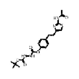 CC(=O)Nc1nc(CCc2ccc(OC(=O)NNC(=O)OC(C)(C)C)cc2)cs1